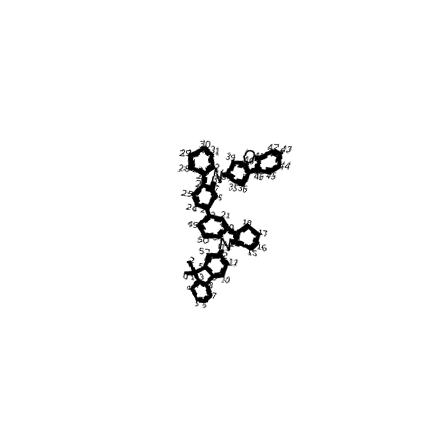 CC1(C)c2ccccc2-c2ccc(-n3c4ccccc4c4cc(-c5ccc6c7ccccc7n(-c7ccc8c(c7)oc7ccccc78)c6c5)ccc43)cc21